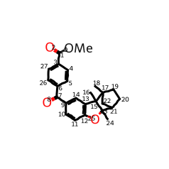 COC(=O)c1ccc(C(=O)c2ccc3c(c2)C2(C)C4(C)CCC(C4)C2(C)O3)cc1